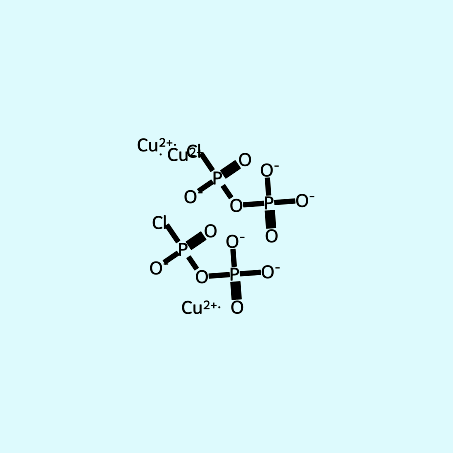 O=P([O-])([O-])OP(=O)([O-])Cl.O=P([O-])([O-])OP(=O)([O-])Cl.[Cu+2].[Cu+2].[Cu+2]